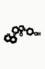 O=C1N([C@H]2CC[C@H](O)CC2)CC[C@]12CCCN(c1cccc3cccnc13)C2